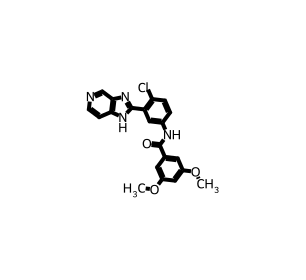 COc1cc(OC)cc(C(=O)Nc2ccc(Cl)c(-c3nc4cnccc4[nH]3)c2)c1